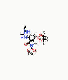 C=CNC(C)Nc1ccc(B2OC(C)(C)C(C)(C)O2)c2c1C(=O)N(C(=O)OC(C)(C)C)C2